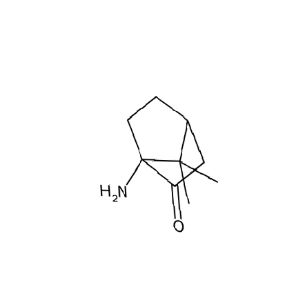 CC1(C)C2CCC1(N)C(=O)C2